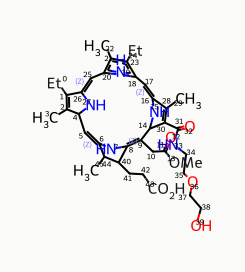 CCC1=C(C)C2/C=C3\N/C(=C(/CC(=O)OC)C4N/C(=C\c5[nH]c(c(C)c5CC)/C=C/1N2)C(C)=C4C(=O)NCCOCCO)C(CCC(=O)O)C3C